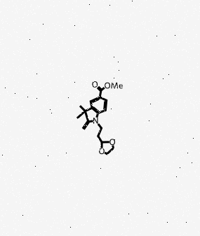 C=C1N(CCC2OCCO2)c2ccc(C(=O)OC)cc2C1(C)C